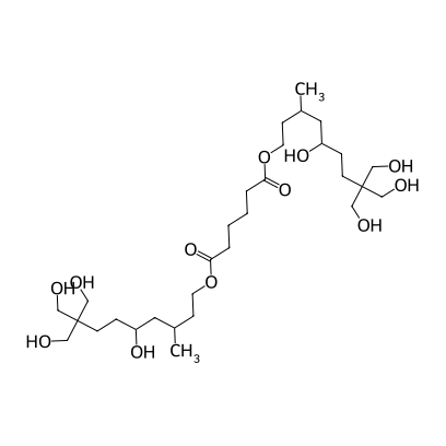 CC(CCOC(=O)CCCCC(=O)OCCC(C)CC(O)CCC(CO)(CO)CO)CC(O)CCC(CO)(CO)CO